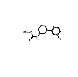 CC(C)(C)OC(=O)NC1CCCN(c2cc(Br)ccn2)C1